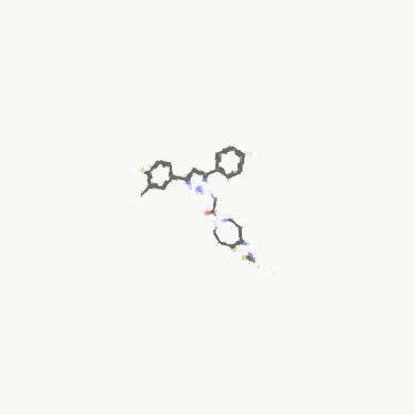 COc1nc2c(s1)CCN(C(=O)Cn1nc(-c3ccc(F)c(C)c3)cc1-c1ccccc1)CC2